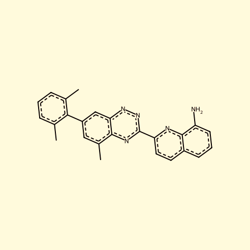 Cc1cccc(C)c1-c1cc(C)c2nc(-c3ccc4cccc(N)c4n3)nnc2c1